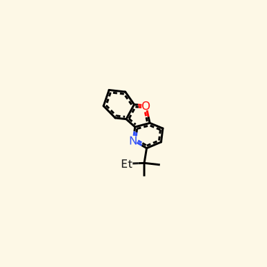 CCC(C)(C)c1ccc2oc3ccccc3c2n1